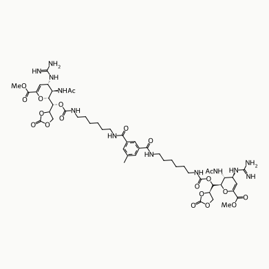 COC(=O)C1=C[C@H](NC(=N)N)[C@@H](NC(C)=O)[C@H]([C@H](OC(=O)NCCCCCCNC(=O)c2cc(C)cc(C(=O)NCCCCCCNC(=O)OC([C@H]3COC(=O)O3)[C@@H]3OC(C(=O)OC)=C[C@H](NC(=N)N)[C@H]3NC(C)=O)c2)C2COC(=O)O2)O1